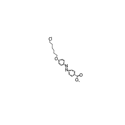 COC(=O)c1ccc(N=Nc2ccc(OCCCCCCCl)cc2)cc1